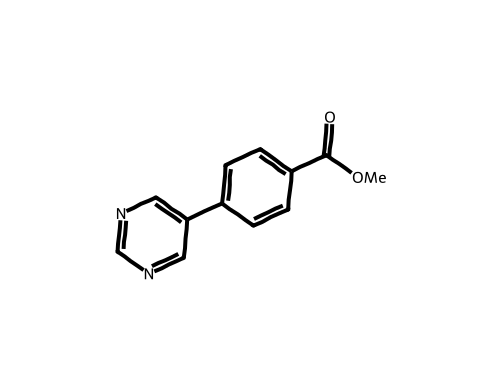 COC(=O)c1ccc(-c2cncnc2)cc1